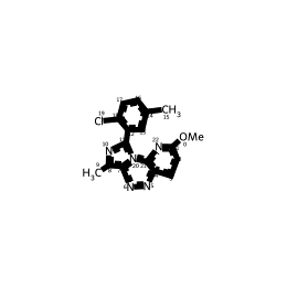 COc1ccc2nnc3c(C)nc(-c4cc(C)ccc4Cl)n3c2n1